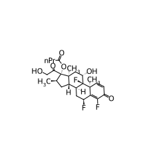 CCCC(=O)O[C@@]1(C(=O)CO)[C@H](C)C[C@H]2[C@@H]3C[C@H](F)C4=C(F)C(=O)C=C[C@]4(C)[C@@]3(F)[C@@H](O)C[C@@]21C